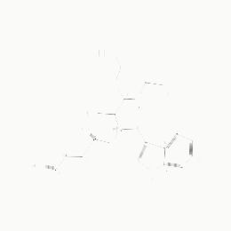 CCOC(OCC)C(C)N(Cc1csc2ccccc12)OC(=O)CCC=O